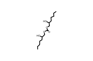 CCCCCC(O)COC(=O)OCC(O)CCCCC